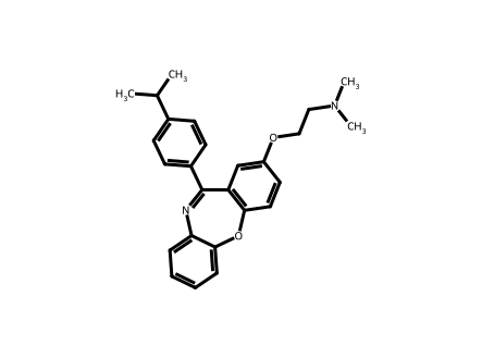 CC(C)c1ccc(C2=Nc3ccccc3Oc3ccc(OCCN(C)C)cc32)cc1